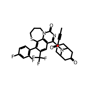 CC#CC(=O)N1C2CC(=O)CC1CN(c1nc(=O)n3c4c(c(-c5ccc(F)cc5F)c(C(F)(F)F)cc14)SCCC3)C2